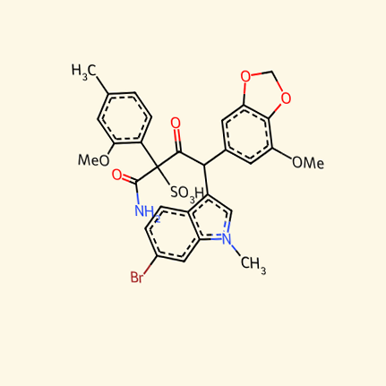 COc1cc(C)ccc1C(C(N)=O)(C(=O)C(c1cc(OC)c2c(c1)OCO2)c1cn(C)c2cc(Br)ccc12)S(=O)(=O)O